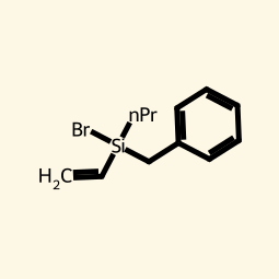 C=C[Si](Br)(CCC)Cc1ccccc1